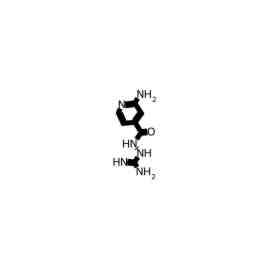 N=C(N)NNC(=O)c1ccnc(N)c1